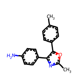 Cc1ccc(-c2oc(C)nc2-c2ccc(N)cc2)cc1